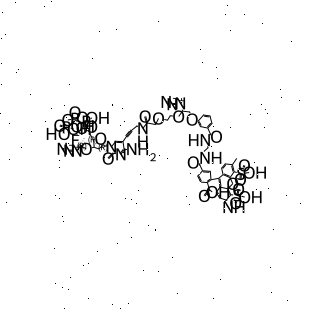 Cc1ccc2c(-c3cc(C(=O)NCCNC(=O)c4cccc(OCC(N=[N+]=[N-])OCCOCC(=O)NCC#Cc5cn([C@H]6CC(O[C@](C)(F)N=[N+]=[N-])[C@@H](COP(=O)(O)OP(=O)(O)OP(=O)(O)O)O6)c(=O)nc5N)c4)ccc3C(=O)O)c3ccc(=N)c(S(=O)(=O)O)c-3oc2c1S(=O)(=O)O